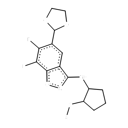 CC(=O)SC1CCCC1Nc1noc2c(F)c(F)c(C3OCCO3)cc12